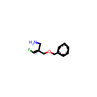 NC/C(=C\F)COCc1ccccc1